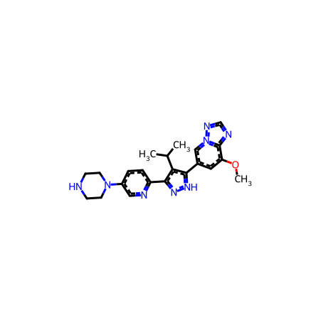 COc1cc(-c2[nH]nc(-c3ccc(N4CCNCC4)cn3)c2C(C)C)cn2ncnc12